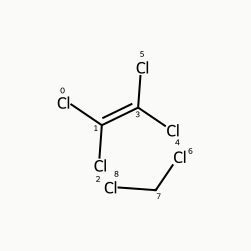 ClC(Cl)=C(Cl)Cl.ClCCl